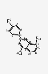 Fc1ccc(-c2cc(Cl)c3cccc(F)c3n2)cc1